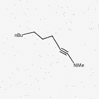 CCCCCCCC#CNC